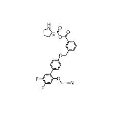 N#CCOc1cc(F)c(F)cc1-c1ccc(OCc2cccc(C(=O)OC(=O)[C@@H]3CCCN3)c2)cc1